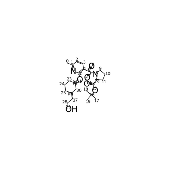 Cc1ccc(S(=O)(=O)N2CCC[C@H]2C(=O)OC(C)(C)C)c(O[C@@H]2CCC[C@H](CCO)C2)n1